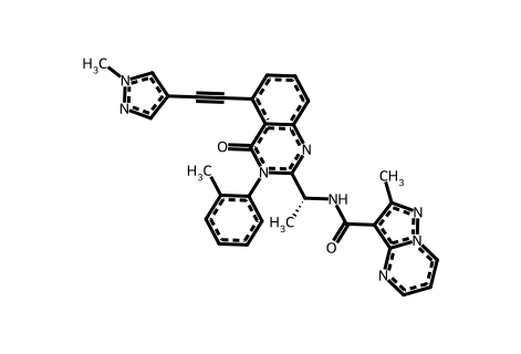 Cc1ccccc1-n1c([C@@H](C)NC(=O)c2c(C)nn3cccnc23)nc2cccc(C#Cc3cnn(C)c3)c2c1=O